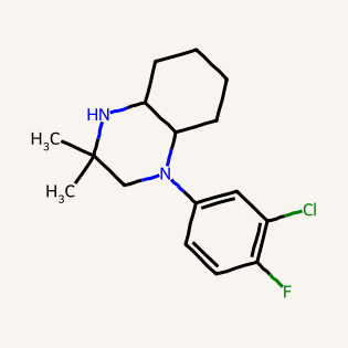 CC1(C)CN(c2ccc(F)c(Cl)c2)C2CCCCC2N1